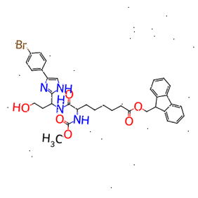 COC(=O)NC(CCCCCC(=O)OCC1c2ccccc2-c2ccccc21)C(=O)NC(CCO)c1nc(-c2ccc(Br)cc2)c[nH]1